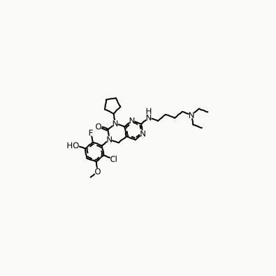 CCN(CC)CCCCNc1ncc2c(n1)N(C1CCCC1)C(=O)N(c1c(F)c(O)cc(OC)c1Cl)C2